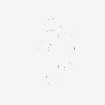 O=C(NCC1CCOCC1)C1CCN(C(=O)C2Cc3ccccc3N2Cc2ccc(Cl)cc2)CC1